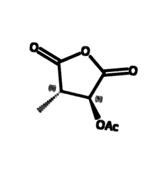 CC(=O)O[C@@H]1C(=O)OC(=O)[C@H]1C